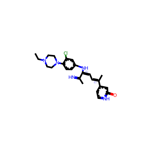 CCN1CCN(c2ccc(N/C(=C/C=C(\C)c3cc[nH]c(=O)c3)C(C)=N)cc2Cl)CC1